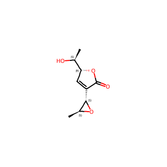 C[C@H](O)[C@H]1C=C([C@@H]2O[C@H]2C)C(=O)O1